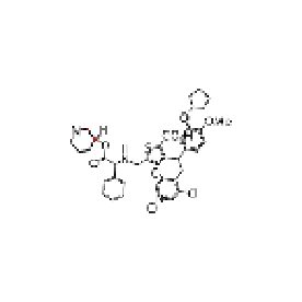 COc1ccc(C(Cc2c(Cl)c[n+]([O-])cc2Cl)c2cc(CNC(C(=O)O[C@H]3CN4CCC3CC4)c3ccccc3)sc2C(=O)O)cc1OC1CCCC1